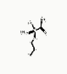 N.NC(=O)P(=O)(O)OCCCl